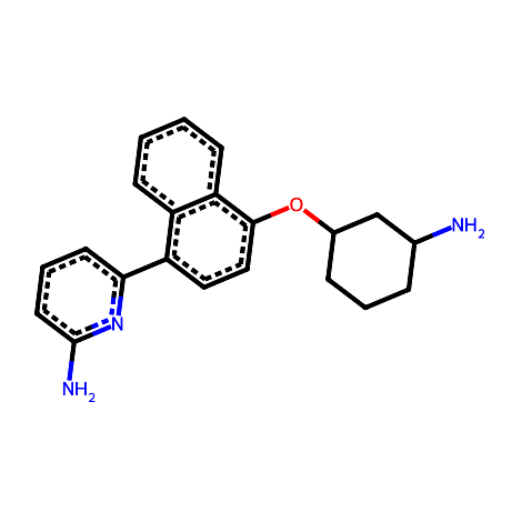 Nc1cccc(-c2ccc(OC3CCCC(N)C3)c3ccccc23)n1